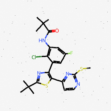 CSc1nccc(-c2sc(C(C)(C)C)nc2-c2cc(F)cc(NC(=O)C(C)(C)C)c2Cl)n1